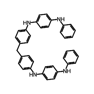 c1ccc(Nc2ccc(Nc3ccc(Cc4ccc(Nc5ccc(Nc6ccccc6)cc5)cc4)cc3)cc2)cc1